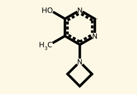 Cc1c(O)n[c]nc1N1CCC1